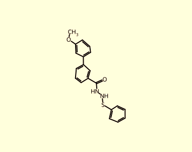 COc1cccc(-c2cccc(C(=O)NNSc3ccccc3)c2)c1